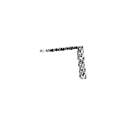 Cl.[NaH].[NaH].[NaH].[NaH].[NaH].[NaH].[NaH].[NaH].[NaH].[NaH].[NaH].[NaH].[NaH].[NaH].[NaH].[NaH].[NaH].[NaH].[NaH].[NaH].[NaH].[NaH].[NaH].[NaH].[NaH].[NaH].[NaH].[NaH].[NaH]